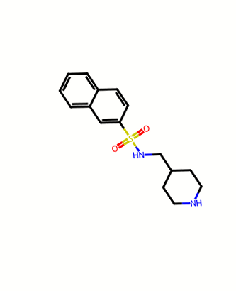 O=S(=O)(NCC1CCNCC1)c1ccc2ccccc2c1